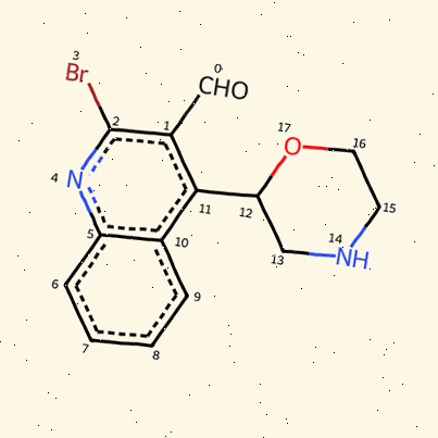 O=Cc1c(Br)nc2ccccc2c1C1CNCCO1